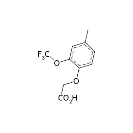 Cc1ccc(OCC(=O)O)c(OC(F)(F)F)c1